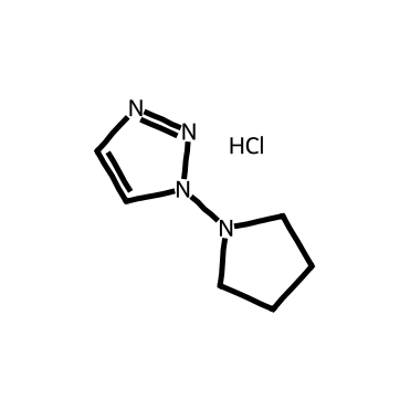 Cl.c1cn(N2CCCC2)nn1